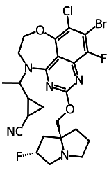 CC(C1CC1C#N)N1CCOc2c(Cl)c(Br)c(F)c3nc(OC[C@@]45CCCN4C[C@H](F)C5)nc1c23